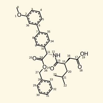 COc1cccc(-c2ccc([C@H](NC(=O)[C@@H](CC(=O)O)CC(C)C)C(=O)OCc3ccccc3)cc2)c1